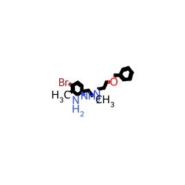 CC1=C(Br)C=CC(N)(CCN(C)CCCOCc2ccccc2)C1N